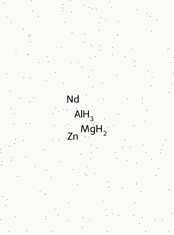 [AlH3].[MgH2].[Nd].[Zn]